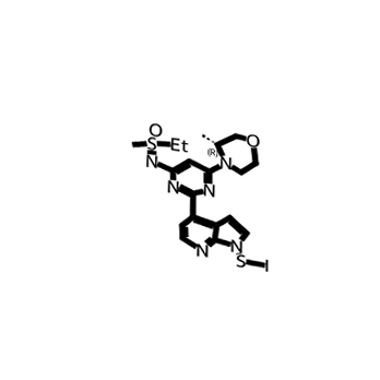 CCS(C)(=O)=Nc1cc(N2CCOC[C@H]2C)nc(-c2ccnc3c2ccn3SI)n1